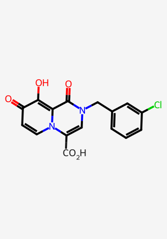 O=C(O)c1cn(Cc2cccc(Cl)c2)c(=O)c2c(O)c(=O)ccn12